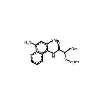 CCCCCCCCC(SCCCCCC)C(=O)Nc1c(SC)cc(N)c2ncccc12